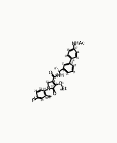 CCOC1=C(C(=O)N[C@H](C)c2cccc(-c3ccc(NC(C)=O)cc3)c2)CN(c2ccc(F)cc2F)C1=O